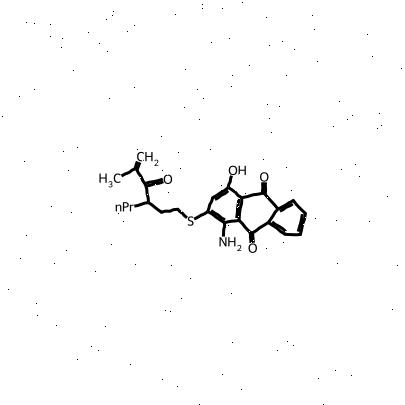 C=C(C)C(=O)C(CCC)CCSc1cc(O)c2c(c1N)C(=O)c1ccccc1C2=O